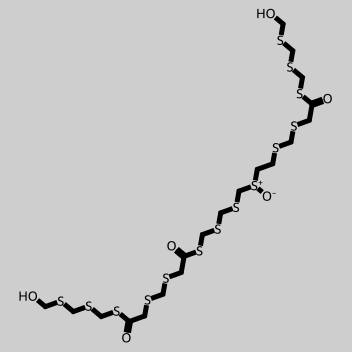 O=C(CSCSCC[S+]([O-])CSCSCSC(=O)CSCSCC(=O)SCSCSCO)SCSCSCO